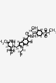 CCS(=O)(=O)c1ccc([C@H](CO)NC(=O)c2cc3cc(CN/C(=C\C(C)=N)C(F)(F)F)n(CCF)c3cc2F)cc1